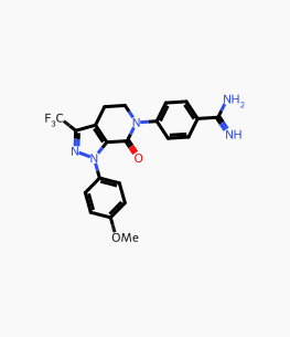 COc1ccc(-n2nc(C(F)(F)F)c3c2C(=O)N(c2ccc(C(=N)N)cc2)CC3)cc1